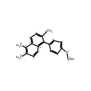 CCCCCCCCCCOc1ccc(-c2c(C)ccc3c(C)c(C)ccc23)cc1